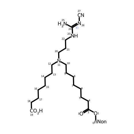 CCCCCCCCCOC(=O)CCCCCCCN(CCCCCCCC(=O)O)CCCN/C(N)=N/C#N